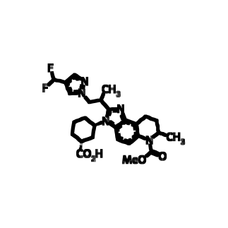 COC(=O)N1c2ccc3c(nc(C(C)Cn4cc(C(F)F)cn4)n3[C@@H]3CCC[C@@H](C(=O)O)C3)c2CCC1C